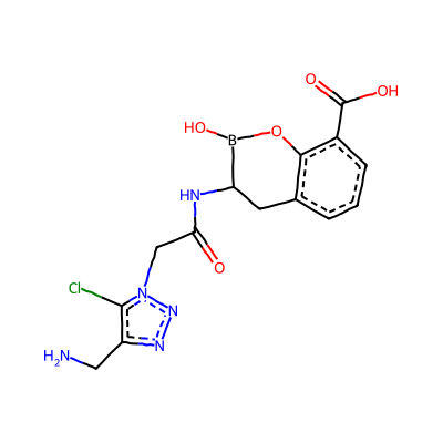 NCc1nnn(CC(=O)NC2Cc3cccc(C(=O)O)c3OB2O)c1Cl